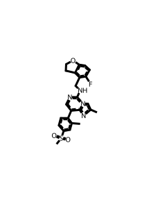 Cc1cn2c(NCc3c(F)ccc4c3CCO4)ncc(-c3ccc(S(C)(=O)=O)cc3C)c2n1